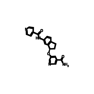 NC(=O)c1cncc(O[C@@H]2CCc3ccc(NC(=O)c4ccncc4)cc32)c1